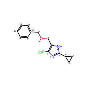 Clc1nc(C2CC2)[nH]c1COCc1ccccc1